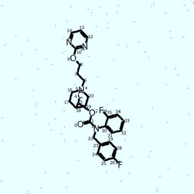 O=C(OC1C[N+]2(CCCOc3ncccn3)CCC1CC2)N(Cc1ccc(F)cc1)c1ccccc1F